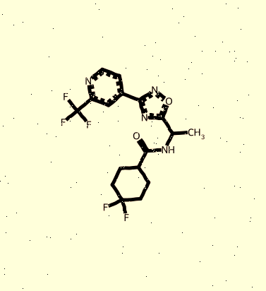 CC(NC(=O)C1CCC(F)(F)CC1)c1nc(-c2ccnc(C(F)(F)F)c2)no1